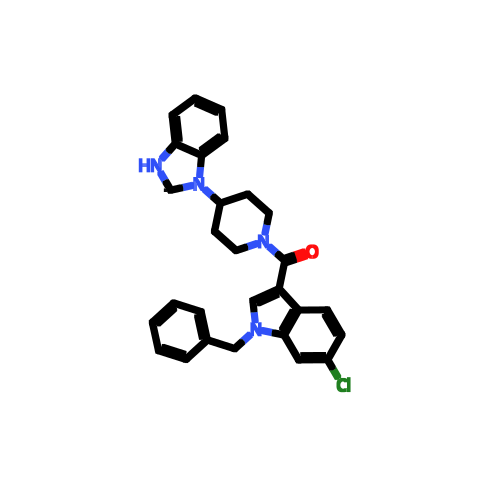 O=C(c1cn(Cc2ccccc2)c2cc(Cl)ccc12)N1CCC(N2[CH]Nc3ccccc32)CC1